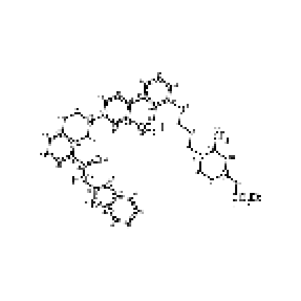 CCOC(=O)CN1CCN(CCCOc2cccc(-c3ccc(N4CCc5cccc(C(=O)Nc6nc7ccccc7s6)c5C4)nc3C(=O)O)c2C)C(C(F)(F)F)C1